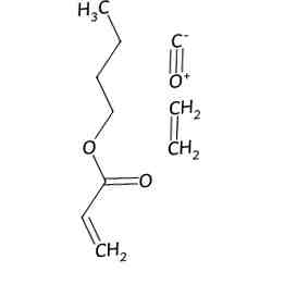 C=C.C=CC(=O)OCCCC.[C-]#[O+]